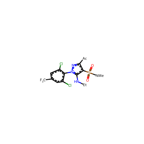 CCNc1c(S(=O)(=O)NC)c(C(C)=O)nn1-c1c(Cl)cc(C(F)(F)F)cc1Cl